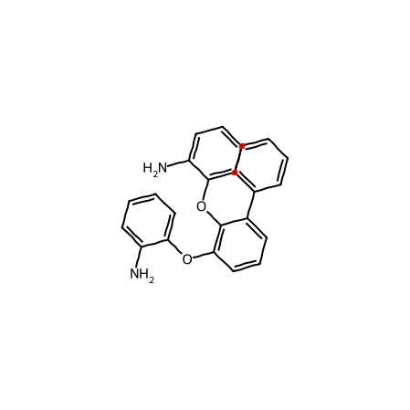 Nc1ccccc1Oc1cccc(-c2ccccc2)c1Oc1ccccc1N